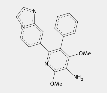 COc1nc(-c2ccn3ccnc3c2)c(-c2ccccc2)c(OC)c1N